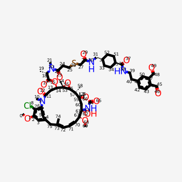 COc1cc2cc(c1Cl)N(C)C(=O)C[C@@H](OC(=O)[C@H](C)N(C)C(=O)CCSCC(=O)NC[C@H]1CC[C@H](C(=O)NCCc3ccc(C=O)c(C=O)c3)CC1)[C@]1(C)OC1[C@H](C)[C@@H]1C[C@@](O)(NC(=O)O1)[C@H](OC)/C=C\C=C(/C)C2